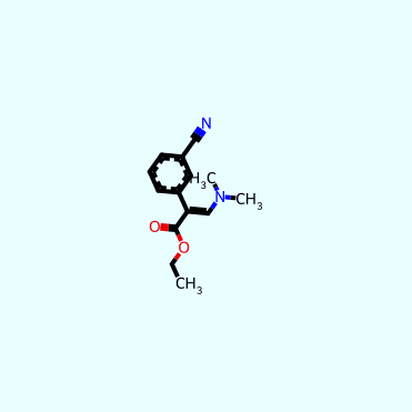 CCOC(=O)/C(=C/N(C)C)c1cccc(C#N)c1